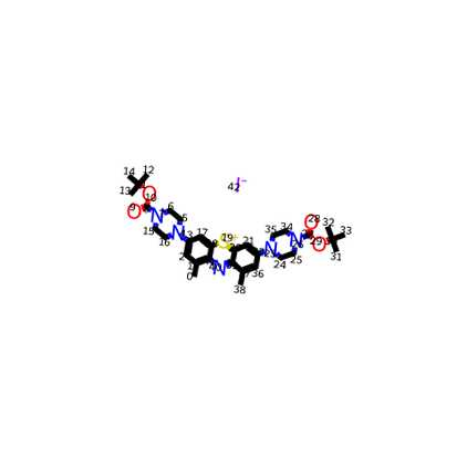 Cc1cc(N2CCN(C(=O)OC(C)(C)C)CC2)cc2[s+]c3cc(N4CCN(C(=O)OC(C)(C)C)CC4)cc(C)c3nc12.[I-]